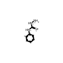 NNC(=[Se])Nc1ccccc1